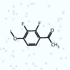 CC(=O)c1ccc(OI)c(F)c1F